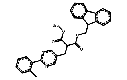 Cc1ccccc1-c1ncc(CC(C(=O)OCC2c3ccccc3-c3ccccc32)C(=O)OC(C)(C)C)cn1